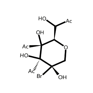 CC(=O)C(O)[C@H]1OC[C@](O)(Br)[C@](O)(C(C)=O)[C@@]1(O)C(C)=O